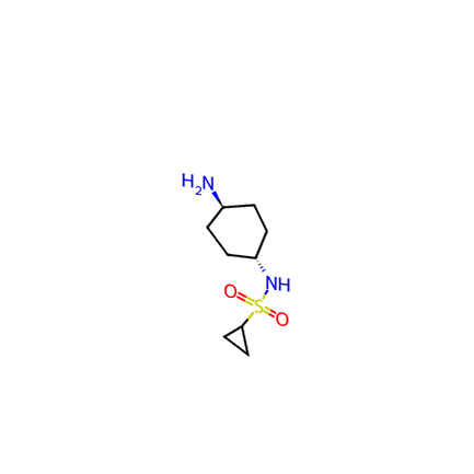 N[C@H]1CC[C@H](NS(=O)(=O)C2CC2)CC1